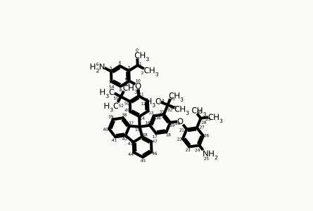 CC(C)c1cc(N)ccc1Oc1ccc(C2(c3ccc(Oc4ccc(N)cc4C(C)C)c(C(C)(C)C)c3)c3ccccc3-c3ccccc32)cc1C(C)(C)C